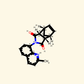 Cc1ccc2cccc(N3C(=O)[C@@H]4[C@H](C3=O)[C@@H]3C=C[C@H]4C3)c2n1